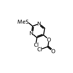 CSc1ncc(OC(=O)Cl)c(Cl)n1